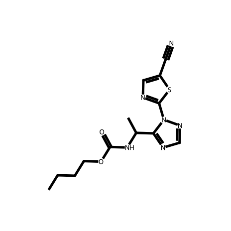 CCCCOC(=O)NC(C)c1ncnn1-c1ncc(C#N)s1